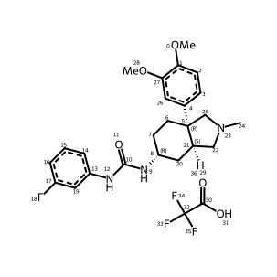 COc1ccc([C@@]23CC[C@@H](NC(=O)Nc4cccc(F)c4)C[C@@H]2CN(C)C3)cc1OC.O=C(O)C(F)(F)F